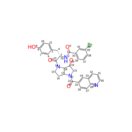 O=C(N[C@@H](Cc1ccc(O)cc1)C(=O)N1CCC2C1C(=O)CN2C(=O)c1ccc2ncccc2c1)c1cccc(Br)c1